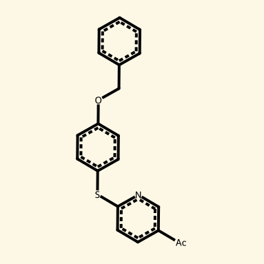 CC(=O)c1ccc(Sc2ccc(OCc3ccccc3)cc2)nc1